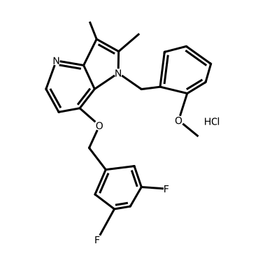 COc1ccccc1Cn1c(C)c(C)c2nccc(OCc3cc(F)cc(F)c3)c21.Cl